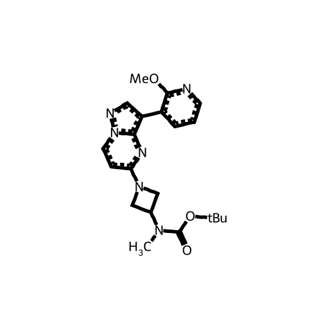 COc1ncccc1-c1cnn2ccc(N3CC(N(C)C(=O)OC(C)(C)C)C3)nc12